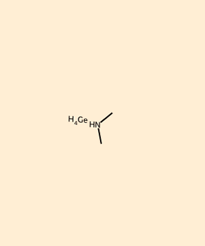 CNC.[GeH4]